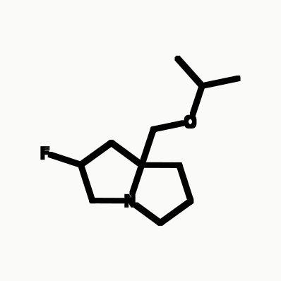 CC(C)OCC12CCCN1CC(F)C2